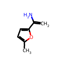 C=C(N)c1ccc(C)o1